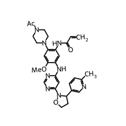 C=CC(=O)Nc1cc(Nc2cc(N3OCCC3c3ccc(C)nc3)ncn2)c(OC)cc1N1CCN(C(C)=O)CC1